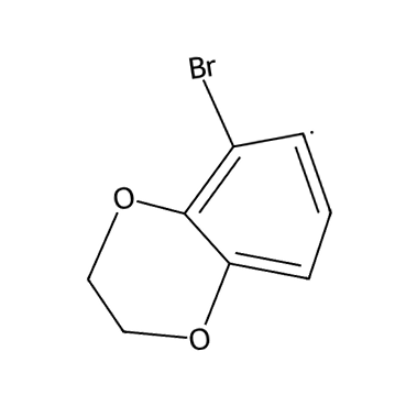 Brc1[c]ccc2c1OCCO2